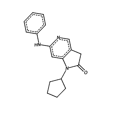 O=C1Cc2cnc(Nc3ccccc3)cc2N1C1CCCC1